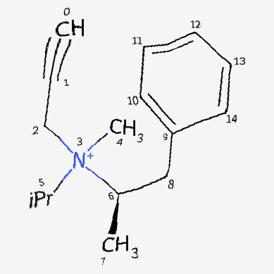 C#CC[N+](C)(C(C)C)[C@H](C)Cc1ccccc1